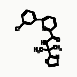 CC(C)(NC(=O)c1cccc(-c2cccc(Cl)c2)n1)c1ncco1